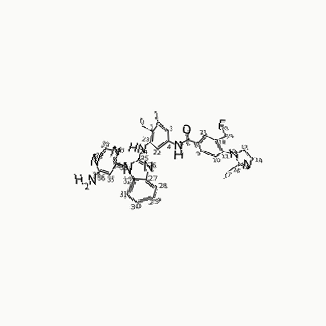 Cc1ccc(NC(=O)c2ccc(-n3ccnc3C)c(CF)c2)cc1Nc1nc2ccccc2n1-c1cc(N)ncn1